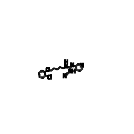 N#CN/C(=N\c1cccnc1)NCCCCCOc1ccccc1Cl